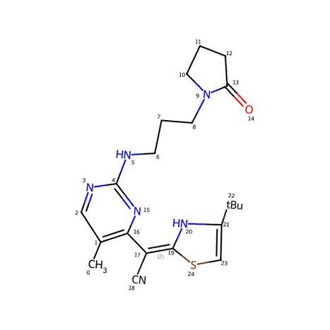 Cc1cnc(NCCCN2CCCC2=O)nc1/C(C#N)=C1\NC(C(C)(C)C)=CS1